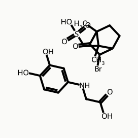 CC12CCC(C(Br)C1=O)C2(C)CS(=O)(=O)O.O=C(O)CNc1ccc(O)c(O)c1